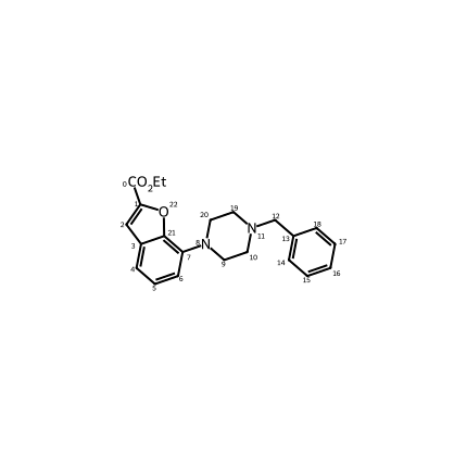 CCOC(=O)c1cc2cccc(N3CCN(Cc4ccccc4)CC3)c2o1